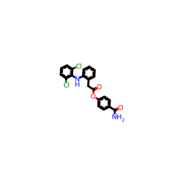 NC(=O)c1ccc(OC(=O)Cc2ccccc2Nc2c(Cl)cccc2Cl)cc1